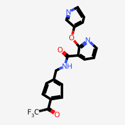 O=C(NCc1ccc(C(=O)C(F)(F)F)cc1)c1cccnc1Oc1cccnc1